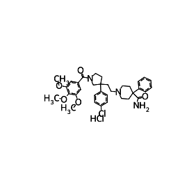 COc1cc(C(=O)N2CCC(CCN3CCC(C(N)=O)(c4ccccc4)CC3)(c3ccc(Cl)cc3)C2)cc(OC)c1OC.Cl